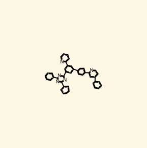 c1ccc(-c2ccnc(-c3ccc(-c4cc(-c5ccccn5)cc(-c5nc(-c6ccccc6)nc(-c6ccccc6)n5)c4)cc3)c2)cc1